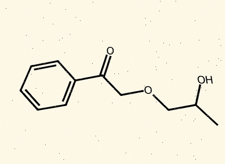 CC(O)COCC(=O)c1ccccc1